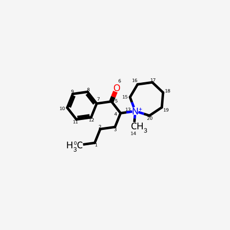 CCCCC(C(=O)c1ccccc1)[N+]1(C)CCCCCC1